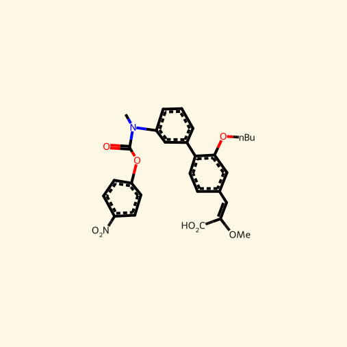 CCCCOc1cc(C=C(OC)C(=O)O)ccc1-c1cccc(N(C)C(=O)Oc2ccc([N+](=O)[O-])cc2)c1